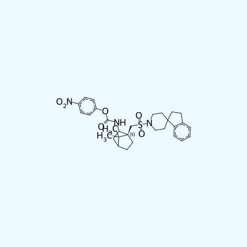 CC1(C)C2CC[C@@]1(CS(=O)(=O)N1CCC3(CCc4ccccc43)CC1)C(NC(=O)Oc1ccc([N+](=O)[O-])cc1)C2